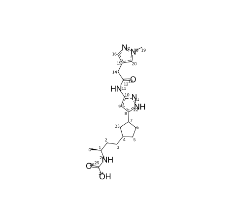 C[C@@H](CCC1CCC(c2cc(NC(=O)Cc3cnn(C)c3)n[nH]2)C1)NC(=O)O